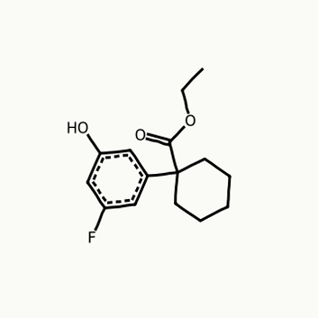 CCOC(=O)C1(c2cc(O)cc(F)c2)CCCCC1